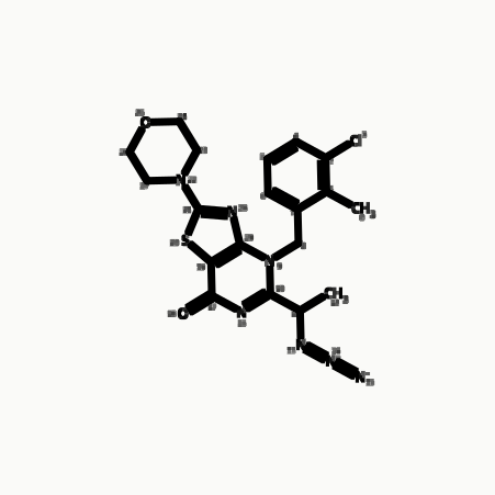 Cc1c(Cl)cccc1Cn1c(C(C)N=[N+]=[N-])nc(=O)c2sc(N3CCOCC3)nc21